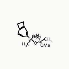 CO[Si](C)(C)O[Si](C)(C)c1ccc2c(c1)CC2